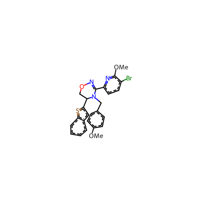 COc1ccc(CN2C(c3ccc(Br)c(OC)n3)=NOCC2c2cc3ccccc3s2)cc1